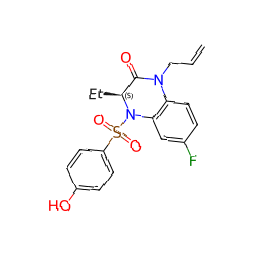 C=CCN1C(=O)[C@H](CC)N(S(=O)(=O)c2ccc(O)cc2)c2cc(F)ccc21